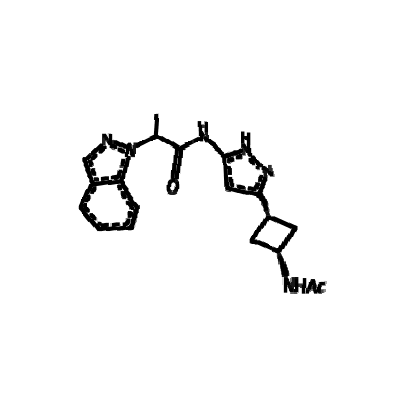 CC(=O)N[C@H]1C[C@@H](c2cc(NC(=O)C(C)n3ncc4ccccc43)[nH]n2)C1